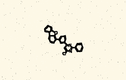 Clc1cc(-c2cccc(-c3cccc4c3oc3ccccc34)c2)nc(-c2ccccc2)n1